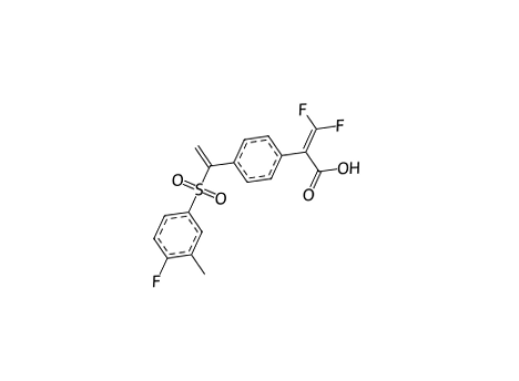 C=C(c1ccc(C(C(=O)O)=C(F)F)cc1)S(=O)(=O)c1ccc(F)c(C)c1